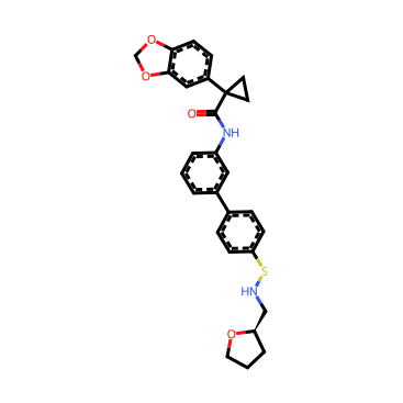 O=C(Nc1cccc(-c2ccc(SNC[C@H]3CCCO3)cc2)c1)C1(c2ccc3c(c2)OCO3)CC1